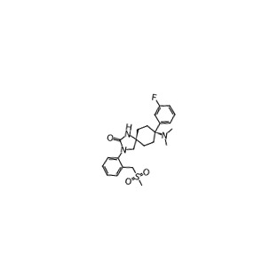 CN(C)[C@]1(c2cccc(F)c2)CC[C@@]2(CC1)CN(c1ccccc1CS(C)(=O)=O)C(=O)N2